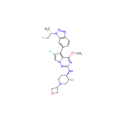 COc1nc(N[C@@H]2CCN(C3COC3)C[C@@H]2F)nn2cc(F)c(-c3ccc4nnn([C@@H](C)CF)c4c3)c12